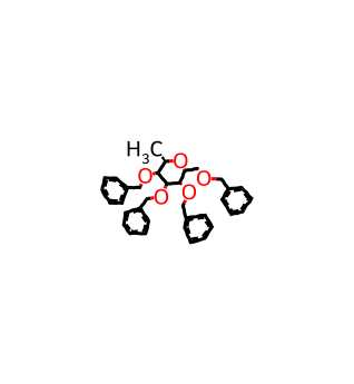 C[C@H]1OC(COCc2ccccc2)[C@@H](OCc2ccccc2)C(OCc2ccccc2)C1OCc1ccccc1